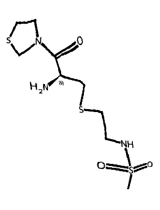 CS(=O)(=O)NCCSC[C@@H](N)C(=O)N1CCSC1